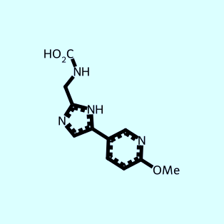 COc1ccc(-c2cnc(CNC(=O)O)[nH]2)cn1